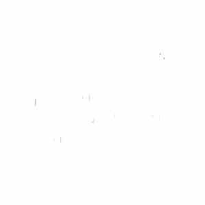 C=C(C#N)C(=O)O[Si](C)(C)C(C)C